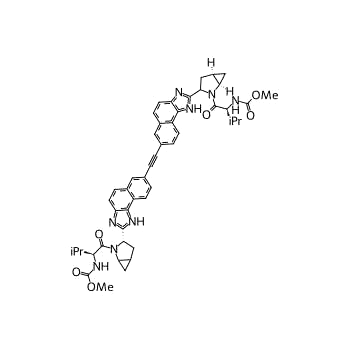 COC(=O)N[C@H](C(=O)N1C(c2nc3ccc4cc(C#Cc5ccc6c(ccc7nc([C@@H]8CC9CC9N8C(=O)[C@@H](NC(=O)OC)C(C)C)[nH]c76)c5)ccc4c3[nH]2)C[C@H]2C[C@H]21)C(C)C